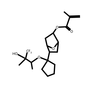 C=C(C)C(=O)OC1CC2OC1CC2C1(OC(C)C(C)(O)C(F)(F)F)CCCC1